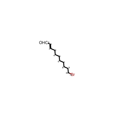 O=C/C=C/CCCCCCCCBr